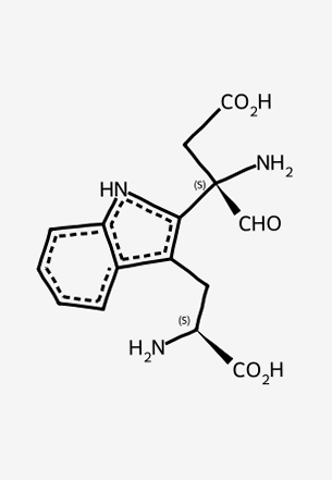 N[C@@H](Cc1c([C@](N)(C=O)CC(=O)O)[nH]c2ccccc12)C(=O)O